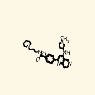 CN1CCC(Nc2cc(-c3ccc(C(=O)NCCCN4CCCCC4)cc3)nc3ccncc23)C1